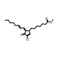 CCCCC/C=C/C=C1\C(=O)C(Cl)=CC1CCCCCCC(=O)OC